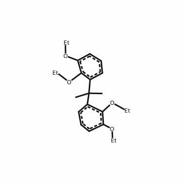 CCOc1cccc(C(C)(C)c2cccc(OCC)c2OCC)c1OCC